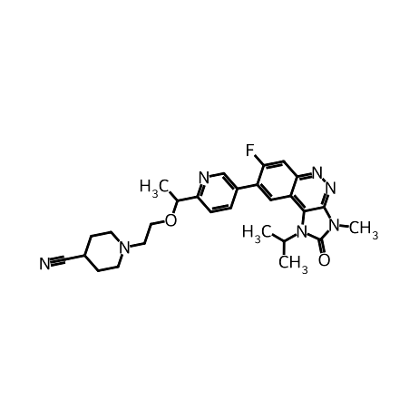 CC(OCCN1CCC(C#N)CC1)c1ccc(-c2cc3c(cc2F)nnc2c3n(C(C)C)c(=O)n2C)cn1